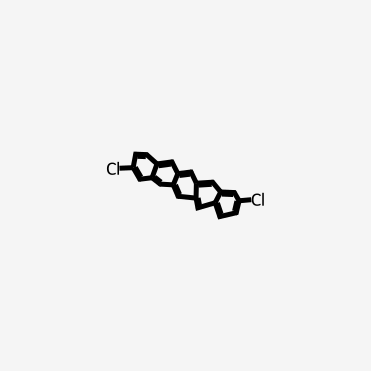 Clc1ccc2cc3cc4cc5cc(Cl)ccc5cc4cc3cc2c1